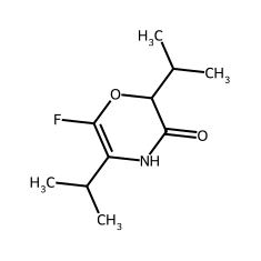 CC(C)C1=C(F)OC(C(C)C)C(=O)N1